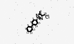 Cc1nn(-c2ccc(-c3ccccc3)cc2)nc1CCl